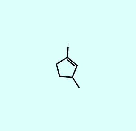 CC1C=C(I)CC1